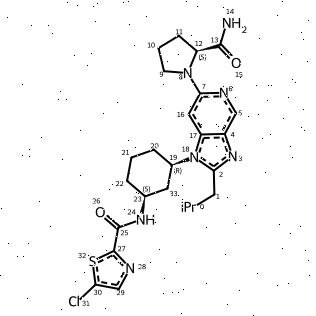 CC(C)Cc1nc2cnc(N3CCC[C@H]3C(N)=O)cc2n1[C@@H]1CCC[C@H](NC(=O)c2ncc(Cl)s2)C1